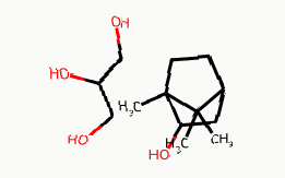 CC1(C)C2CCC1(C)C(O)C2.OCC(O)CO